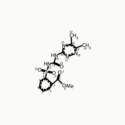 COC(=O)c1ccccc1S(=O)(=O)NC(=O)Nc1nnc(C)c(C)n1